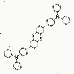 c1ccc(N(c2ccccc2)c2ccc(-c3ccc4c(c3)Sc3ccc(-c5ccc(N(c6ccccc6)c6ccccc6)cc5)cc3S4)cc2)cc1